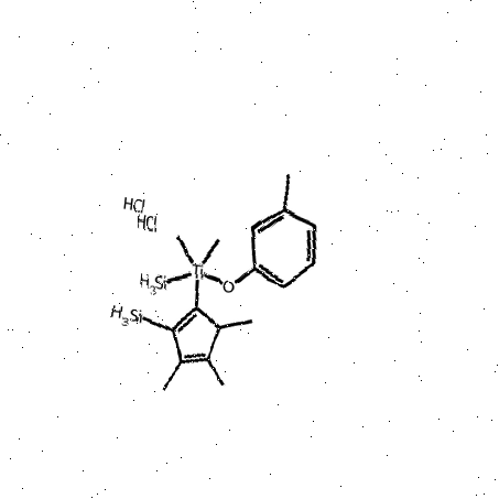 CC1=C(C)C(C)[C]([Ti]([CH3])([CH3])([SiH3])[O]c2cccc(C)c2)=C1[SiH3].Cl.Cl